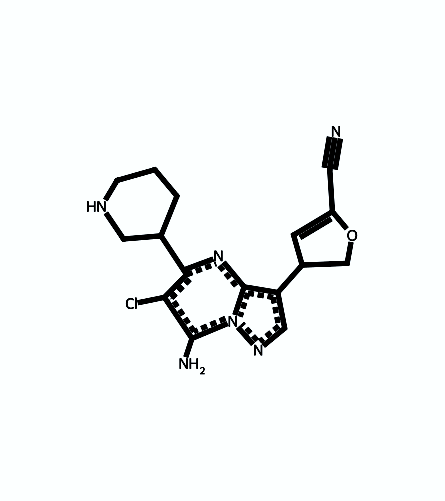 N#CC1=CC(c2cnn3c(N)c(Cl)c(C4CCCNC4)nc23)CO1